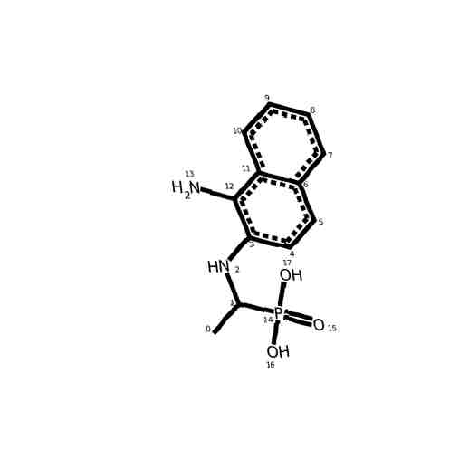 CC(Nc1ccc2ccccc2c1N)P(=O)(O)O